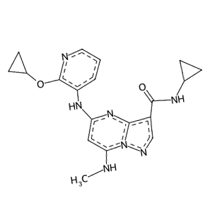 CNc1cc(Nc2cccnc2OC2CC2)nc2c(C(=O)NC3CC3)cnn12